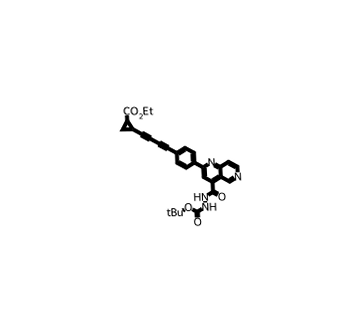 CCOC(=O)C1CC1C#CC#Cc1ccc(-c2cc(C(=O)NNC(=O)OC(C)(C)C)c3cnccc3n2)cc1